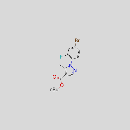 CCCCOC(=O)c1cnn(-c2ccc(Br)cc2F)c1C